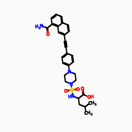 CC(C)CC(NS(=O)(=O)N1CCN(c2ccc(C#Cc3ccc4cccc(C(N)=O)c4c3)cc2)CC1)C(=O)O